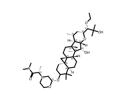 CCO[C@@H]([C@H]1C[C@@H](C)[C@H]2[C@H](O1)[C@H](O)[C@@]1(C)[C@@H]3CC[C@H]4C(C)(C)C(O[C@H]5CN([C@@H](C)C(=O)N(C)C)CCO5)CC[C@@]45C[C@@]35CC[C@]21C)C(C)(C)O